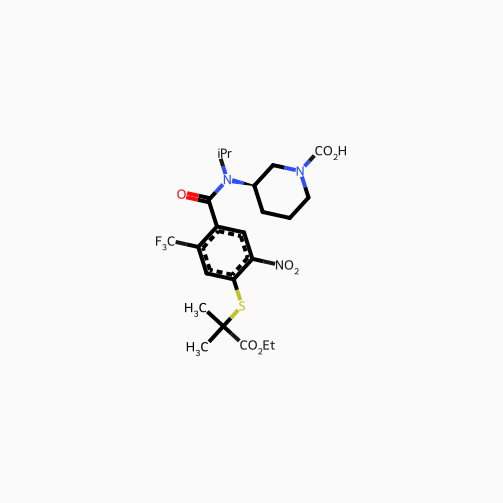 CCOC(=O)C(C)(C)Sc1cc(C(F)(F)F)c(C(=O)N(C(C)C)[C@@H]2CCCN(C(=O)O)C2)cc1[N+](=O)[O-]